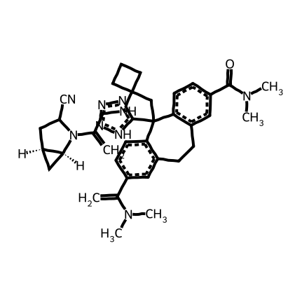 C=C(c1ccc2c(c1)CCc1cc(C(=O)N(C)C)ccc1C2(CC1(NCC(=C)N2C(C#N)C[C@@H]3C[C@@H]32)CCC1)c1nnn[nH]1)N(C)C